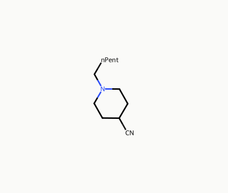 CCCCCCN1CCC(C#N)CC1